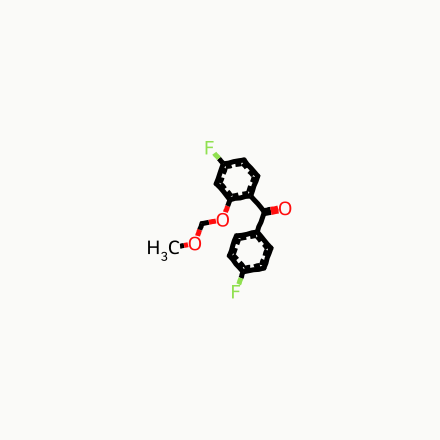 COCOc1cc(F)ccc1C(=O)c1ccc(F)cc1